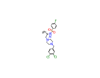 CC(C)C(CN1CCN(Cc2ccc(Cl)c(Cl)c2)CC1)NS(=O)(=O)c1ccc(F)cc1